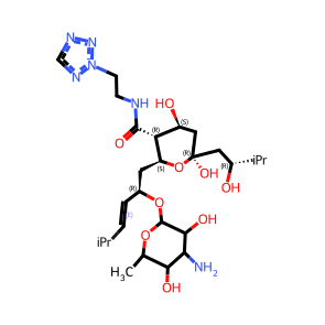 CC(C)/C=C/[C@@H](C[C@@H]1O[C@](O)(C[C@@H](O)C(C)C)C[C@H](O)[C@H]1C(=O)NCCn1ncnn1)OC1OC(C)C(O)C(N)C1O